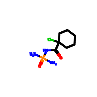 NP(N)(=O)NC(=O)C1(Cl)CCCCC1